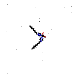 CCCCCCCCCCN1CCN(c2c(N3CCN(CCCCCCCCCC)CC3)c(=O)c2=O)CC1